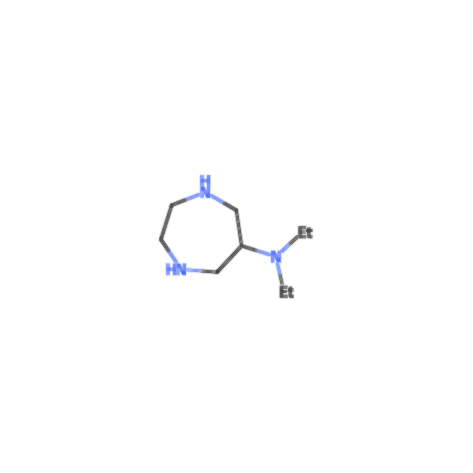 CCN(CC)C1CNCCNC1